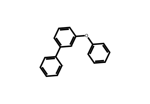 [c]1ccccc1-c1[c]c(Oc2ccccc2)ccc1